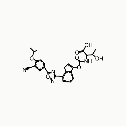 CC(C)Oc1ccc(-c2nc(-c3cccc4c3CC=C4OC(=O)NC(C(=O)O)C(C)O)no2)cc1C#N